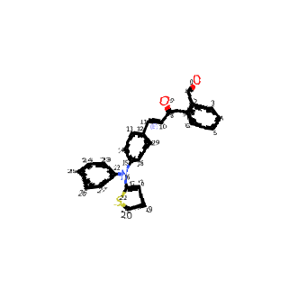 O=Cc1ccccc1C(=O)/C=C/c1ccc(N(C2=CCCS2)c2ccccc2)cc1